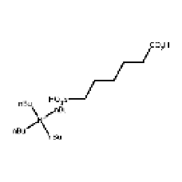 CCCC[N+](CCCC)(CCCC)CCCC.O=C(O)CCCCCS(=O)(=O)O